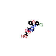 C[C@H](CC(C)(C)O)OC(=O)[C@H](C)[C@H]1CN(C2=Nc3cc(Cl)ccc3Oc3ccccc32)CCN1